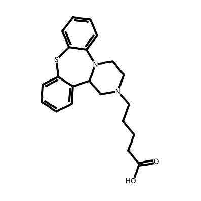 O=C(O)CCCCN1CCN2c3ccccc3Sc3ccccc3C2C1